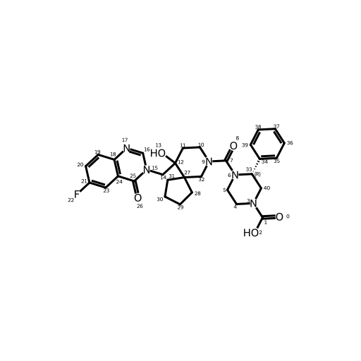 O=C(O)N1CCN(C(=O)N2CCC(O)(Cn3cnc4ccc(F)cc4c3=O)C3(CCCC3)C2)[C@H](c2ccccc2)C1